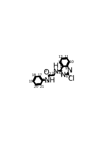 O=C(CNc1nc(Cl)nc2ccccc12)Nc1ccccc1